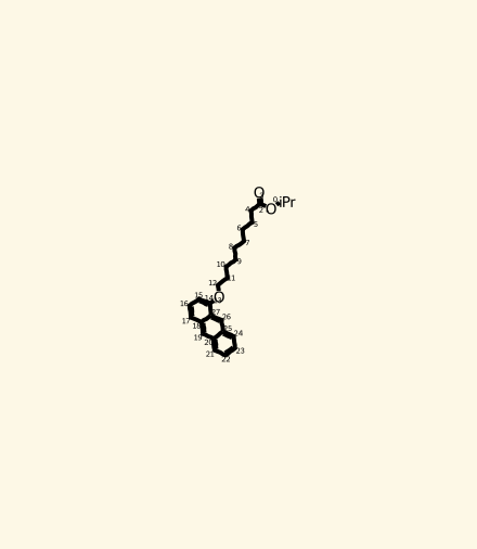 CC(C)OC(=O)CCCCCCCCCOc1cccc2cc3ccccc3cc12